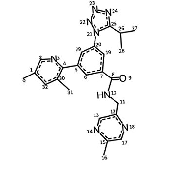 Cc1cnc(-c2cc(C(=O)NCc3cnc(C)cn3)cc(-n3nnnc3C(C)C)c2)c(C)c1